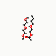 CCCCOCCOC(C)=O.COCCOCCOC